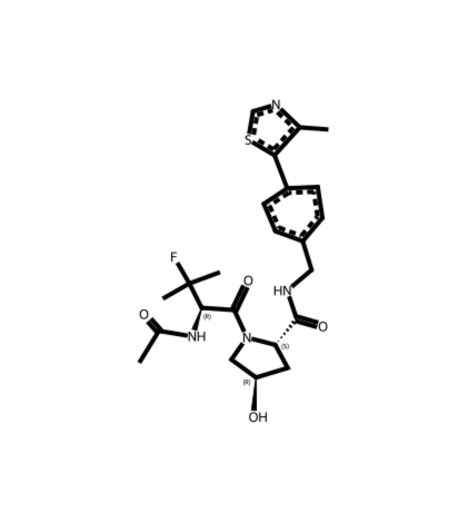 CC(=O)N[C@H](C(=O)N1C[C@H](O)C[C@H]1C(=O)NCc1ccc(-c2scnc2C)cc1)C(C)(C)F